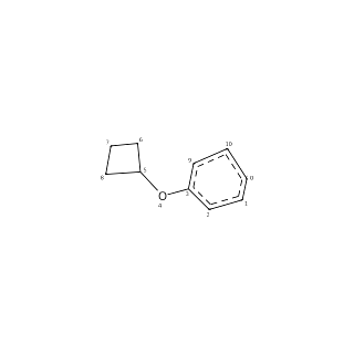 [c]1ccc(OC2CCC2)cc1